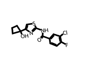 O=C(Nc1nc(C2(O)CCC2)cs1)c1ccc(F)c(Cl)c1